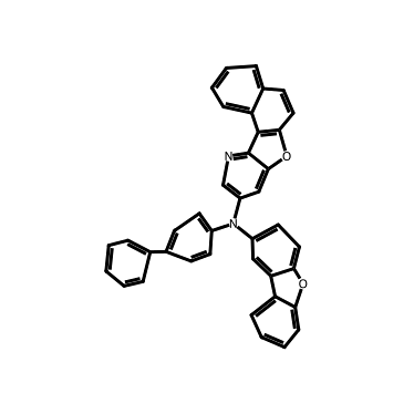 c1ccc(-c2ccc(N(c3cnc4c(c3)oc3ccc5ccccc5c34)c3ccc4oc5ccccc5c4c3)cc2)cc1